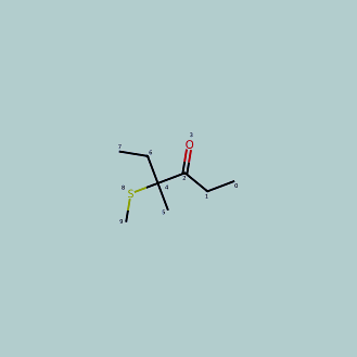 CCC(=O)C(C)(CC)SC